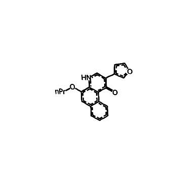 CCCOc1cc2ccccc2c2c(=O)c(-c3ccoc3)c[nH]c12